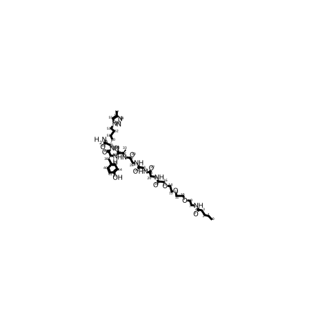 CCCCC(=O)NCCOCCOCCOCC(=O)NCC(=O)NCC(=O)NCC(=O)N[C@H](C)C(=O)N[C@H](Cc1ccc(O)cc1)C(=O)N[C@@H](CCCCn1cc(C)nn1)C(N)=O